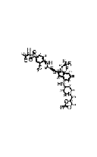 COc1cc(S(=O)(=O)NC(C)=O)ccc1NCC#Cc1cc2c(NC3CCN(CC4COC(=O)O4)CC3)cccc2n1CC(F)(F)F